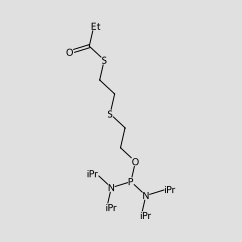 CCC(=O)SCCSCCOP(N(C(C)C)C(C)C)N(C(C)C)C(C)C